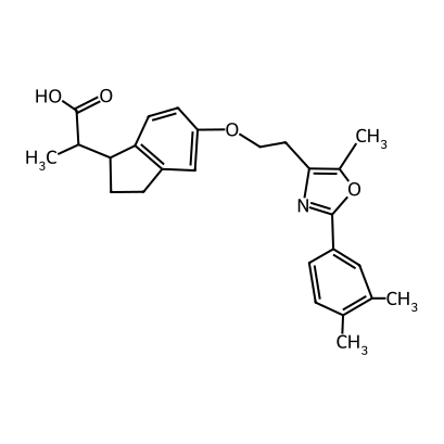 Cc1ccc(-c2nc(CCOc3ccc4c(c3)CCC4C(C)C(=O)O)c(C)o2)cc1C